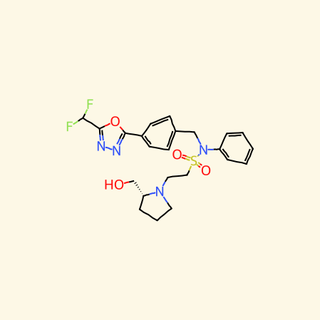 O=S(=O)(CCN1CCC[C@@H]1CO)N(Cc1ccc(-c2nnc(C(F)F)o2)cc1)c1ccccc1